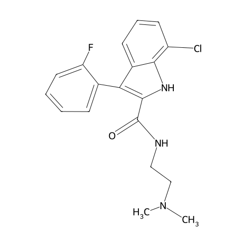 CN(C)CCNC(=O)c1[nH]c2c(Cl)cccc2c1-c1ccccc1F